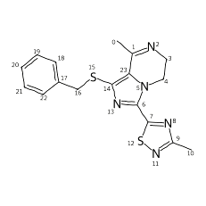 CC1=NCCn2c(-c3nc(C)ns3)nc(SCc3ccccc3)c21